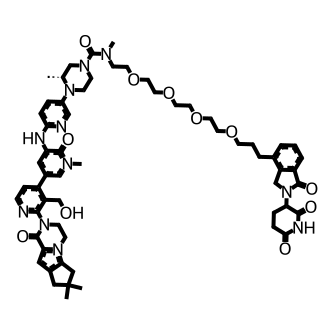 C[C@@H]1CN(C(=O)N(C)CCOCCOCCOCCOCCCc2cccc3c2CN(C2CCC(=O)NC2=O)C3=O)CCN1c1ccc(Nc2cc(-c3ccnc(N4CCn5c(cc6c5CC(C)(C)C6)C4=O)c3CO)cn(C)c2=O)nc1